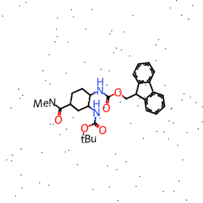 CNC(=O)C1CCC(NC(=O)OCC2c3ccccc3-c3ccccc32)C(NC(=O)OC(C)(C)C)C1